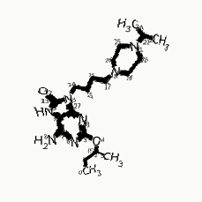 CC[C@H](C)Oc1nc(N)c2[nH]c(=O)n(CCCCN3CCN(C(C)C)CC3)c2n1